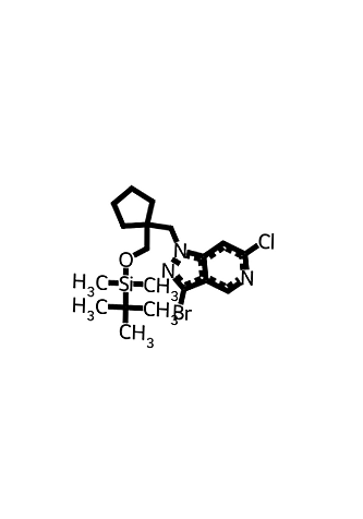 CC(C)(C)[Si](C)(C)OCC1(Cn2nc(Br)c3cnc(Cl)cc32)CCCC1